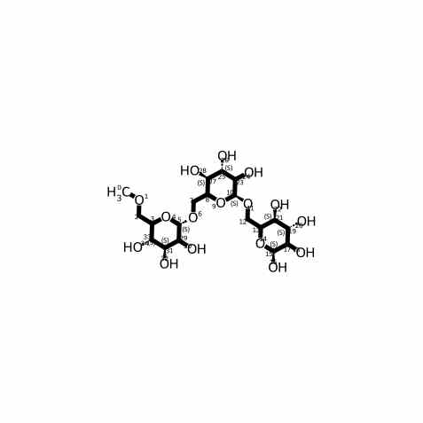 COCC1O[C@H](OCC2O[C@H](OCC3O[C@H](O)C(O)[C@@H](O)[C@@H]3O)C(O)[C@@H](O)[C@@H]2O)C(O)[C@@H](O)[C@@H]1O